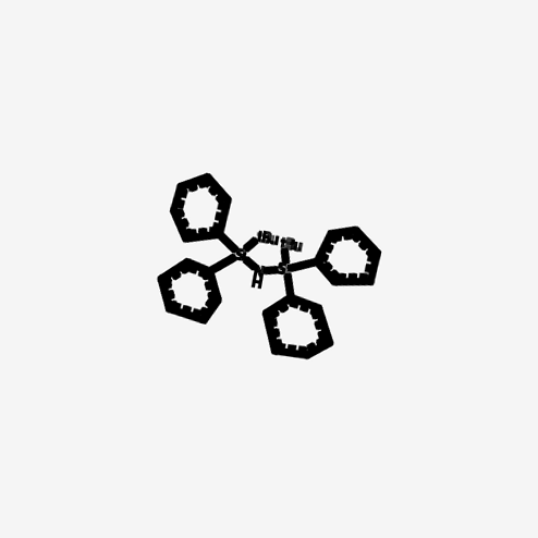 CC(C)(C)[Si](N[Si](c1ccccc1)(c1ccccc1)C(C)(C)C)(c1ccccc1)c1ccccc1